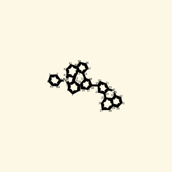 c1ccc(-n2c3ccccc3c3c4c(-c5cccc(-c6ccc7c(c6)-c6cccc8cccc(c68)S7)c5)cccc4ccc32)cc1